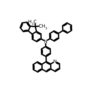 CC1(C)c2ccccc2-c2ccc(N(c3ccc(-c4ccccc4)cc3)c3ccc(-c4c5ccccc5cc5cccnc45)cc3)cc21